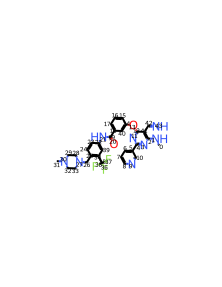 CNc1nc(-c2cccnc2)nc(Oc2cccc(C(=O)Nc3ccc(CN4CCN(C)CC4)c(C(F)(F)F)c3)c2)c1C=N